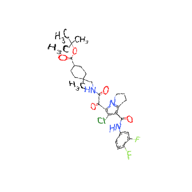 CC1(CNC(=O)C(=O)c2c(Cl)c(C(=O)Nc3ccc(F)c(F)c3)c3n2CCC3)CCC(C(=O)OC(C)(C)C)CC1